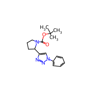 CC(C)(C)OC(=O)N1CCCC1c1cn(-c2ccccc2)nn1